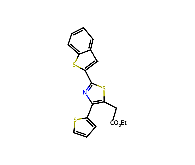 CCOC(=O)Cc1sc(-c2cc3ccccc3s2)nc1-c1cccs1